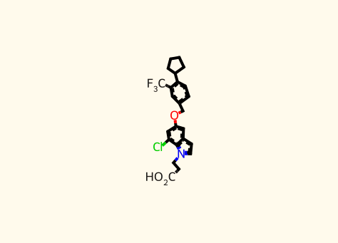 O=C(O)CCn1ccc2cc(OCc3ccc(C4CCCC4)c(C(F)(F)F)c3)cc(Cl)c21